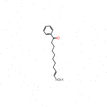 CCCCCCCCC=CCCCCCCCC(=O)c1ccccc1